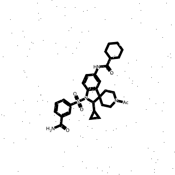 CC(=O)N1CCC2(CC1)c1cc(NC(=O)C3CCCCC3)ccc1N(S(=O)(=O)c1cccc(C(N)=O)c1)C2C1CC1